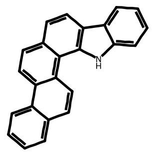 c1ccc2c(c1)ccc1c2ccc2ccc3c4ccccc4[nH]c3c21